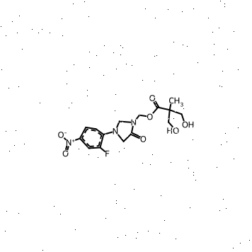 CC(CO)(CO)C(=O)OCN1CN(c2ccc([N+](=O)[O-])cc2F)CC1=O